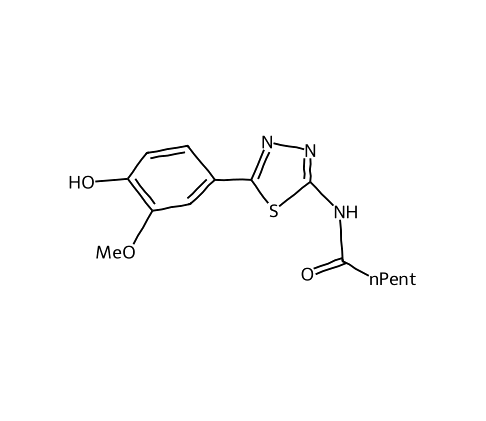 CCCCCC(=O)Nc1nnc(-c2ccc(O)c(OC)c2)s1